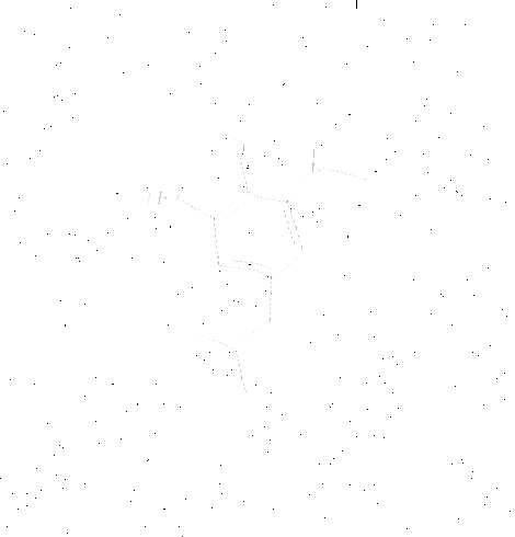 CNc1cc(CC(C)C)cc(O)c1Br